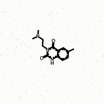 Cc1ccc2[nH]c(=O)n(CCN(C)C)c(=O)c2c1